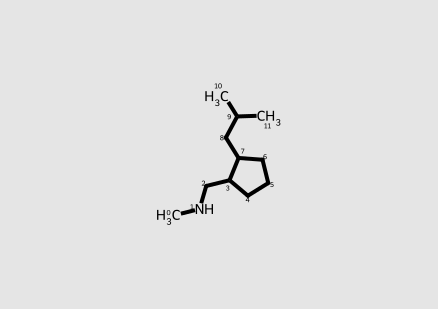 CNCC1CCCC1CC(C)C